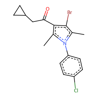 Cc1c(Br)c(C(=O)CC2CC2)c(C)n1-c1ccc(Cl)cc1